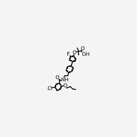 CCCCOc1ccc(Cl)cc1C(=O)NCCc1ccc(-c2ccc(OC(C)(C)C(=O)O)c(F)c2)cc1